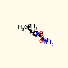 CC(C)CCCC1CCN(C(=O)CSC(=O)NN)CC1